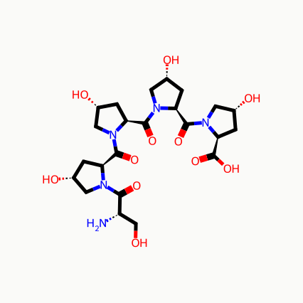 N[C@@H](CO)C(=O)N1C[C@H](O)C[C@H]1C(=O)N1C[C@H](O)C[C@H]1C(=O)N1C[C@H](O)C[C@H]1C(=O)N1C[C@H](O)C[C@H]1C(=O)O